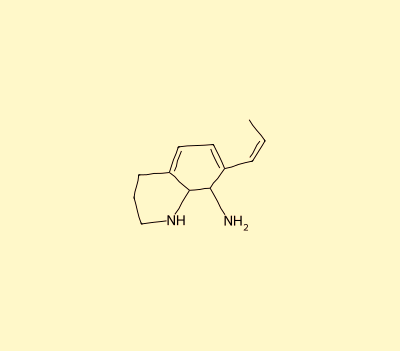 C/C=C\C1=CC=C2CCCNC2C1N